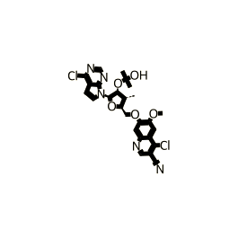 COc1cc2c(Cl)c(C#N)cnc2cc1OC[C@H]1O[C@@H](n2ccc3c(Cl)ncnc32)[C@H](OC(C)(C)O)[C@@H]1C